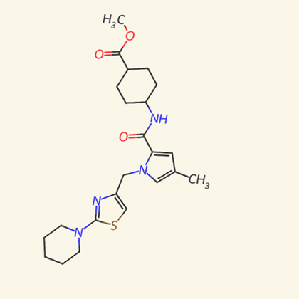 COC(=O)C1CCC(NC(=O)c2cc(C)cn2Cc2csc(N3CCCCC3)n2)CC1